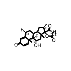 CCC(=O)O[C@]1(C(=O)S)[C@H](C)CC2C3C[C@H](F)C4=CC(=O)C=CC4(C)[C@@]3(F)[C@@H](O)CC21C